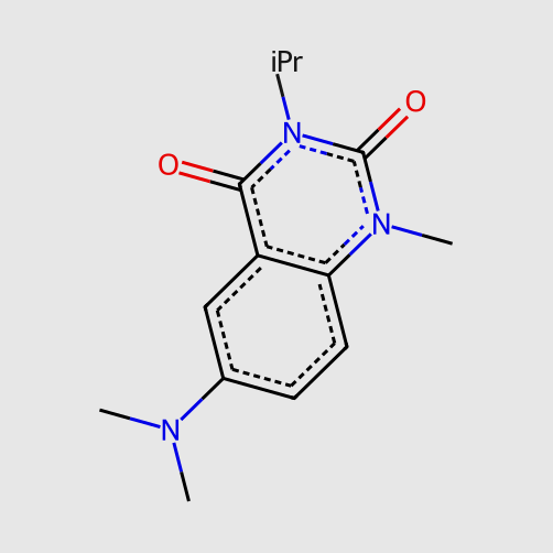 CC(C)n1c(=O)c2cc(N(C)C)ccc2n(C)c1=O